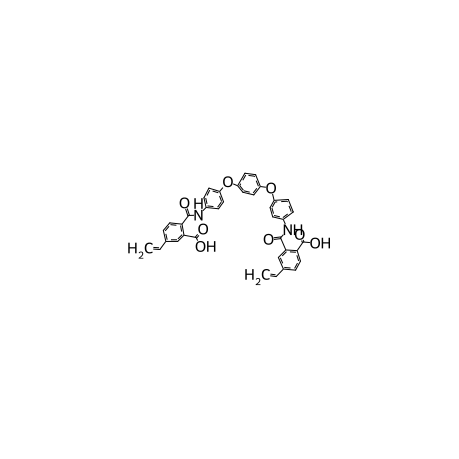 C=Cc1ccc(C(=O)Nc2ccc(Oc3ccc(Oc4ccc(NC(=O)c5cc(C=C)ccc5C(=O)O)cc4)cc3)cc2)c(C(=O)O)c1